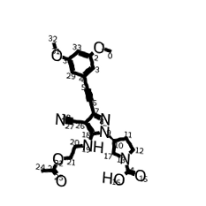 COc1cc(C#Cc2nn([C@H]3CCN(C(=O)O)C3)c(NCCOC(C)=O)c2C#N)cc(OC)c1